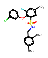 COc1ccc(CNS(=O)(=O)c2cc([N+](=O)[O-])cc(F)c2Oc2cccc(Cl)c2)c(OC)c1